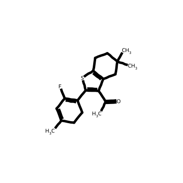 CC(=O)c1c(C2=C(F)C=C(C)CC2)sc2c1CC(C)(C)CC2